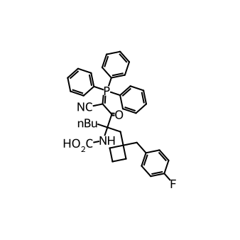 CCCCC(CC1(Cc2ccc(F)cc2)CCC1)(NC(=O)O)C(=O)C(C#N)=P(c1ccccc1)(c1ccccc1)c1ccccc1